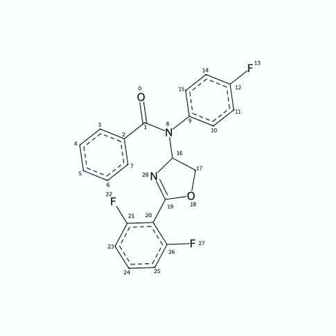 O=C(c1ccccc1)N(c1ccc(F)cc1)C1COC(c2c(F)cccc2F)=N1